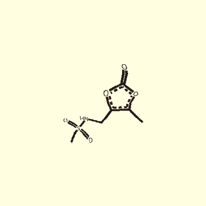 Cc1oc(=O)oc1CNS(C)(=O)=O